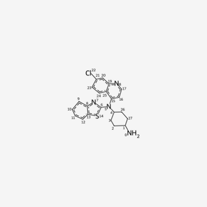 NC1CCC(N(c2nc3ccccc3s2)c2ccnc3cc(Cl)ccc23)CC1